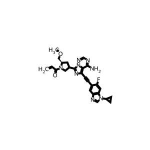 C=CC(=O)N1CC(c2nc(C#Cc3cc4ncn(C5CC5)c4cc3F)c3c(N)ncnn23)C[C@@H]1COC